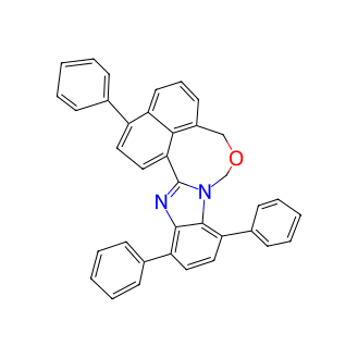 c1ccc(-c2ccc3c4c(cccc24)COCn2c-3nc3c(-c4ccccc4)ccc(-c4ccccc4)c32)cc1